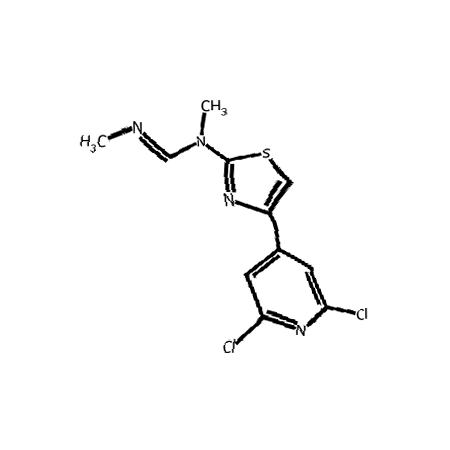 C/N=C/N(C)c1nc(-c2cc(Cl)nc(Cl)c2)cs1